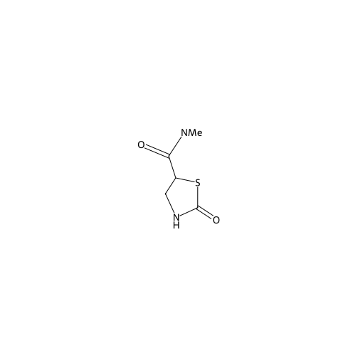 CNC(=O)C1CNC(=O)S1